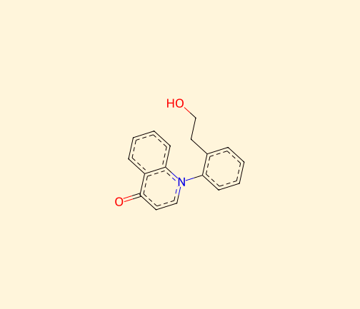 O=c1ccn(-c2ccccc2CCO)c2ccccc12